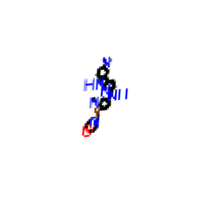 C=Nc1cc(Nc2ccc3c4c([nH]c3n2)CCC(N(C)C)C4)ccc1SCN1CCOCC1